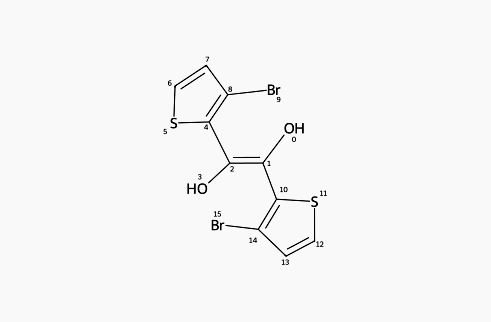 O/C(=C(/O)c1sccc1Br)c1sccc1Br